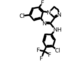 Fc1cc(Cl)cc2c1N1CCN=C1C(Nc1ccc(C(F)(F)F)c(Cl)c1)=N2